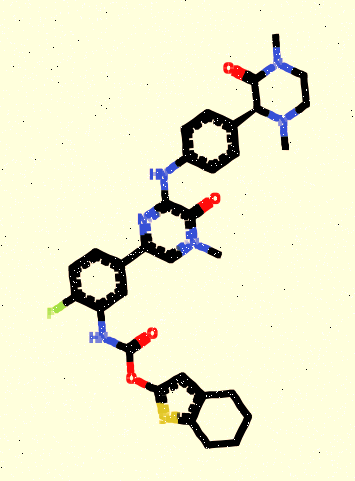 CN1CCN(C)[C@@H](c2ccc(Nc3nc(-c4ccc(F)c(NC(=O)Oc5cc6c(s5)CCCC6)c4)cn(C)c3=O)cc2)C1=O